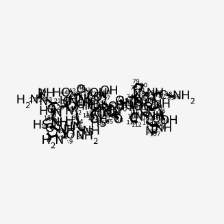 CC(C)C[C@H](NC(=O)[C@H](C)N)C(=O)N[C@@H](CS)C(=O)N[C@@H](CCCNC(=N)N)C(=O)N[C@@H](CCCNC(=N)N)C(=O)N[C@@H](CO)C(=O)N[C@H](C(=O)N[C@H](C(=O)N[C@@H](CC(=O)O)C(=O)N[C@@H](CS)C(=O)NCC(=O)NCC(=O)N1CCC[C@H]1C(=O)N[C@@H](CCCCN)C(=O)N[C@@H](CC(=O)O)C(=O)N[C@@H](Cc1c[nH]cn1)C(=O)N1CCC[C@H]1C(=O)O)[C@@H](C)O)[C@@H](C)O